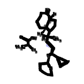 CC(C)(/C=C/C(OC1CCCCO1)C1CC1)C1CC[C@H]2C(=O)CCC[C@]12C.CN(C)C(=O)O